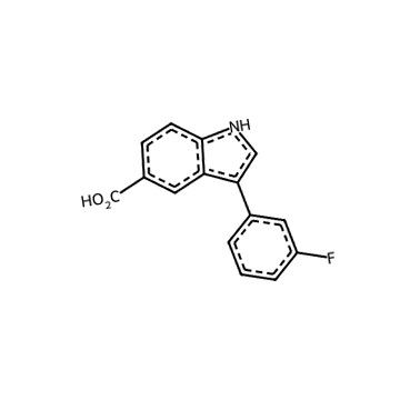 O=C(O)c1ccc2[nH]cc(-c3cccc(F)c3)c2c1